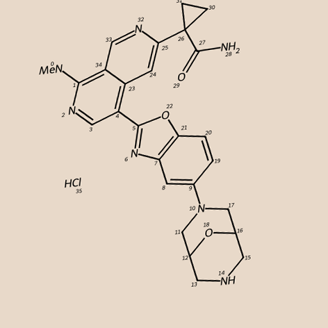 CNc1ncc(-c2nc3cc(N4CC5CNCC(C4)O5)ccc3o2)c2cc(C3(C(N)=O)CC3)ncc12.Cl